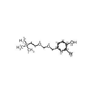 C[Si](C)(C)CCOCOCc1ccc(O)c(Br)n1